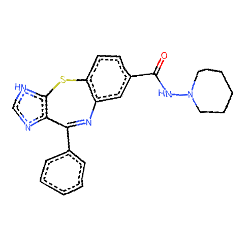 O=C(NN1CCCCC1)c1ccc2c(c1)N=C(c1ccccc1)c1nc[nH]c1S2